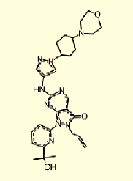 C=CCn1c(=O)c2cnc(Nc3cnn(C4CCC(N5CCOCC5)CC4)c3)nc2n1-c1cccc(C(C)(C)O)n1